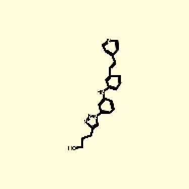 OCCCc1cn(-c2cccc(Nc3cccc(C=Cc4ccncc4)c3)c2)nn1